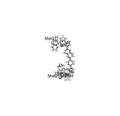 COC(=O)N[C@@H](C(=O)N1CCC[C@H]1c1ncc(-c2ccc3cc(-c4ccc(-c5cnc([C@@H]6[C@H]7CC[C@H](C7)N6CC(C=O)(NC(=O)OC)C6CCOCC6)[nH]5)cc4)ccc3c2)[nH]1)c1ccccc1